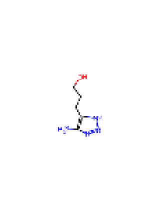 Nc1nn[nH]c1CCCO